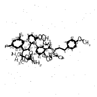 COc1ccc(CCN(c2nn(C)c3c(-n4c(C(OC(N)=O)C(c5cc(F)cc(F)c5)C(C)(C)C)nccc4=O)ccc(Cl)c23)[SH](=O)=O)cc1